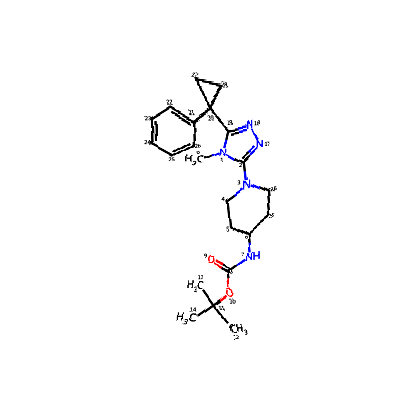 Cn1c(N2CCC(NC(=O)OC(C)(C)C)CC2)nnc1C1(c2ccccc2)CC1